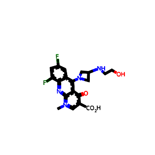 Cn1cc(C(=O)O)c(=O)c2c(N3CC(NCCO)C3)c3cc(F)cc(F)c3nc21